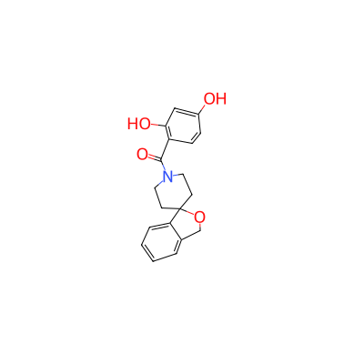 O=C(c1ccc(O)cc1O)N1CCC2(CC1)OCc1ccccc12